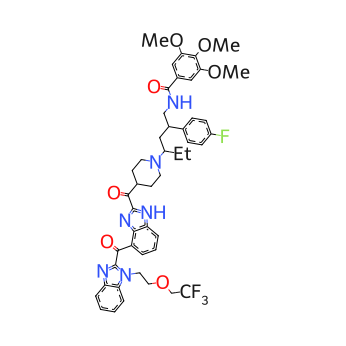 CCC(CC(CNC(=O)c1cc(OC)c(OC)c(OC)c1)c1ccc(F)cc1)N1CCC(C(=O)c2nc3c(C(=O)c4nc5ccccc5n4CCOCC(F)(F)F)cccc3[nH]2)CC1